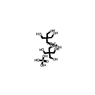 O=C(O)O.O=P(O)(O)O.OCC(CO)(CO)CO.OCC(CO)(CO)CO